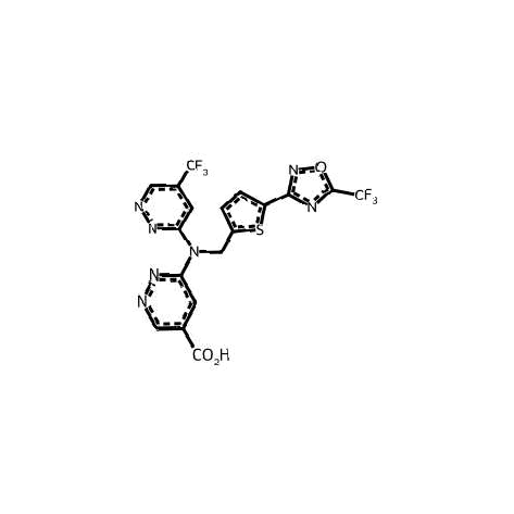 O=C(O)c1cnnc(N(Cc2ccc(-c3noc(C(F)(F)F)n3)s2)c2cc(C(F)(F)F)cnn2)c1